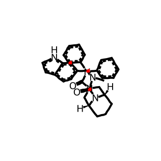 CN(Cc1ccc2cc[nH]c2c1)C(=O)N1[C@@H]2CCC[C@H]1CN(C(=O)N(c1ccccc1)c1ccccc1)C2